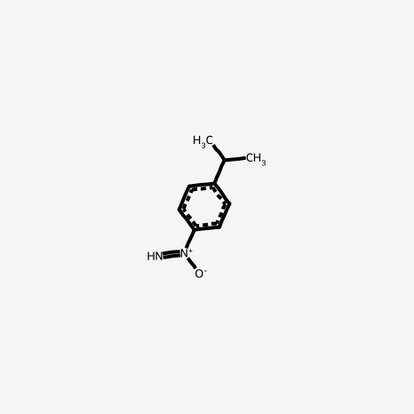 CC(C)c1ccc([N+](=N)[O-])cc1